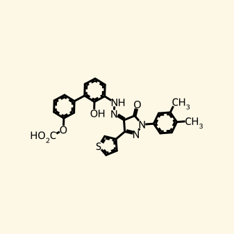 Cc1ccc(N2N=C(c3ccsc3)C(=NNc3cccc(-c4cccc(OC(=O)O)c4)c3O)C2=O)cc1C